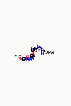 COCCNCc1cnc(-c2cc3nccc(Oc4ccc(NC(=O)Nc5ccc(OC(F)(F)F)cc5)cc4C)c3s2)n1C